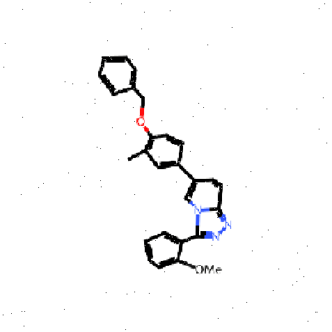 COc1ccccc1-c1nnc2ccc(-c3ccc(OCc4ccccc4)c(C)c3)cn12